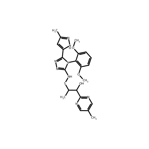 COc1cccc(OC)c1-n1c(NSC(C)C(O)c2ncc(C)cn2)nnc1-c1cc(C)n[nH]1